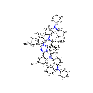 CC(C)(C)c1cc(-c2nc(-c3cc(C#N)ccc3-n3c4ccccc4c4ccc5c(c6ccccc6n5-c5ccccc5)c43)nc(-c3ccc(C#N)cc3-n3c4ccccc4c4ccc5c(c6ccccc6n5-c5ccccc5)c43)n2)cc(C(C)(C)C)c1